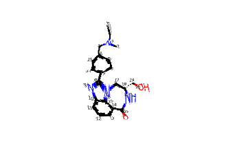 CN(C)Cc1ccc(-c2nc3cccc4c3n2C[C@H](CO)NC4=O)cc1